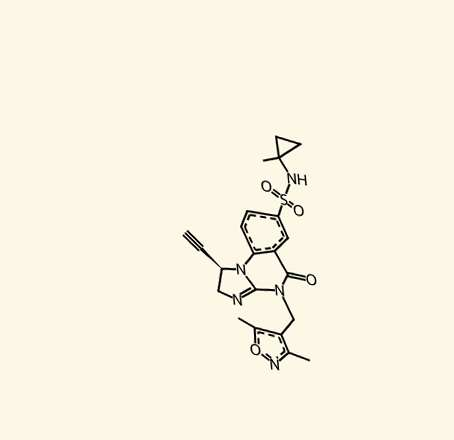 C#C[C@@H]1CN=C2N(Cc3c(C)noc3C)C(=O)c3cc(S(=O)(=O)NC4(C)CC4)ccc3N21